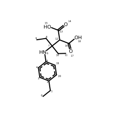 CCc1ccc(NC(CC)(CC)C(C(=O)O)C(=O)O)cc1